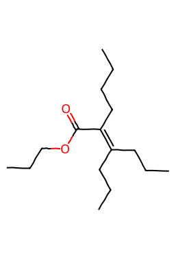 CCCCC(C(=O)OCCC)=C(CCC)CCC